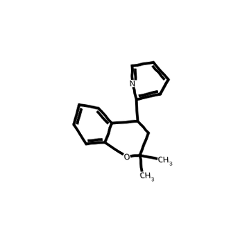 CC1(C)CC(c2ccccn2)c2ccccc2O1